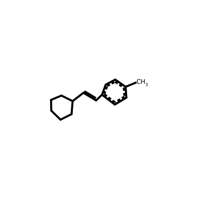 Cc1ccc(C=CC2CCCCC2)cc1